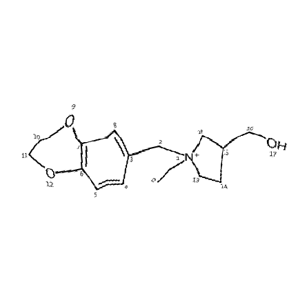 C[N+]1(Cc2ccc3c(c2)OCCO3)CCC(CO)C1